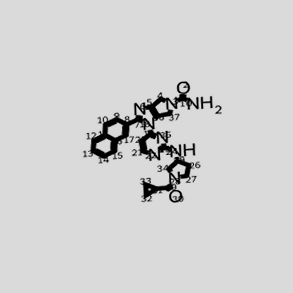 NC(=O)N1Cc2nc(-c3ccc4ccccc4c3)n(-c3ccnc(N[C@H]4CCN(C(=O)C5CC5)C4)n3)c2C1